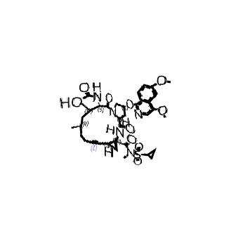 COc1ccc2c(O[C@@H]3C[C@H]4C(=O)N[C@]5(C(=O)N(C)S(=O)(=O)C6CC6)C[C@H]5/C=C\CC[C@@H](C)C[C@@H](C)[C@H](NC(=O)O)C(=O)N4C3)ncc(OC)c2c1